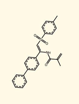 C=C(C)C(=O)N/C(=C\S(=O)(=O)c1ccc(C)cc1)c1ccc(-c2ccccc2)cc1